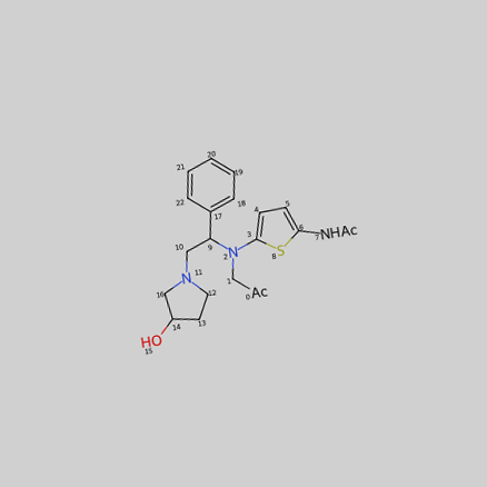 CC(=O)CN(c1ccc(NC(C)=O)s1)C(CN1CCC(O)C1)c1ccccc1